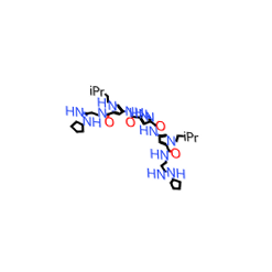 CC(C)CCn1cc(NC(=O)c2cc(C(=O)Nc3cc(C(=O)NCCC(=N)NC4CCCC4)n(CCC(C)C)c3)[nH]n2)cc1C(=O)NCCC(=N)NC1CCCC1